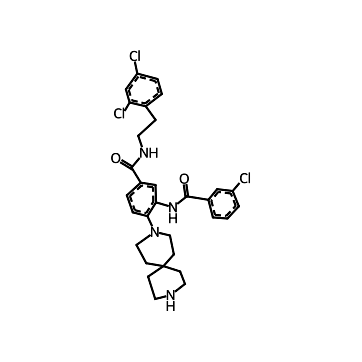 O=C(NCCc1ccc(Cl)cc1Cl)c1ccc(N2CCC3(CCNCC3)CC2)c(NC(=O)c2cccc(Cl)c2)c1